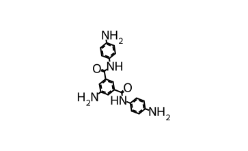 Nc1ccc(NC(=O)c2cc(N)cc(C(=O)Nc3ccc(N)cc3)c2)cc1